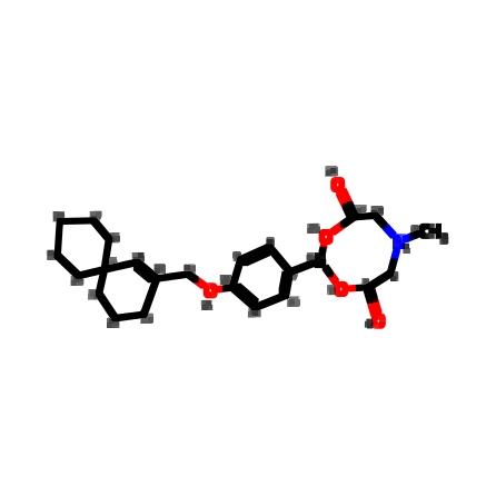 CN1CC(=O)OB(c2ccc(OCC3=CC4(CCCCC4)CCC3)cc2)OC(=O)C1